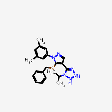 Cc1cc(C)cc(-n2ncc(C3=NNNN3C(C)C)c2SCc2ccccc2)c1